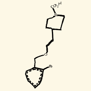 O=C(O)N1CCC(CCOCc2ccccc2Br)CC1